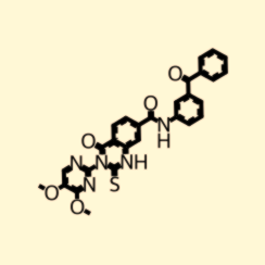 COc1cnc(-n2c(=S)[nH]c3cc(C(=O)Nc4cccc(C(=O)c5ccccc5)c4)ccc3c2=O)nc1OC